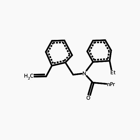 C=Cc1ccccc1CN(C(=O)CCC)c1ccccc1CC